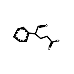 O=CC(CCC(=O)O)c1ccccc1